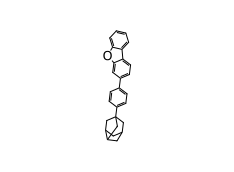 c1ccc2c(c1)oc1cc(-c3ccc(C45CC6CC(C4)C(C6)C5)cc3)ccc12